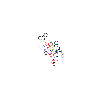 COC(=O)CNC(=O)C(NC(=O)C(CSC(c1ccccc1)(c1ccccc1)c1ccccc1)NC(=O)C(Cc1cccnc1)NC(=O)OCC1c2ccccc2-c2ccccc21)C(C)C